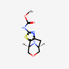 CC(C)(C)OC(=O)Nc1nc2c(s1)[C@@H]1COC[C@H](C2)N1